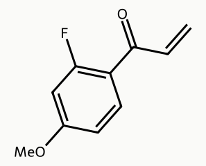 C=CC(=O)c1ccc(OC)cc1F